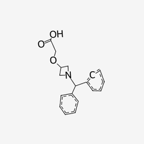 O=C(O)COC1CN(C(c2ccccc2)c2ccccc2)C1